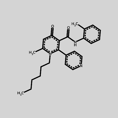 CCCCCCn1c(C)cc(=O)c(C(=O)Nc2ccccc2C)c1-c1ccncc1